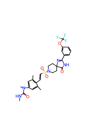 CNC(=O)N(C)c1cc(C)c(C=CS(=O)(=O)N2CCC3(CC2)N=C(c2cccc(OC(F)(F)F)c2)NC3=O)c(C)c1